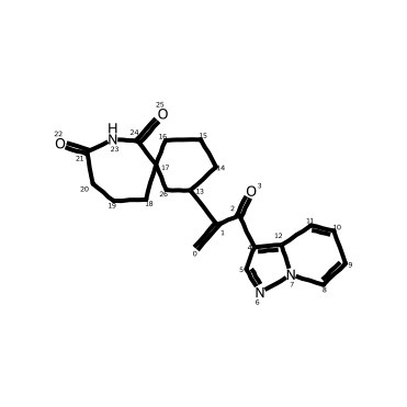 C=C(C(=O)c1cnn2ccccc12)C1CCCC2(CCCC(=O)NC2=O)C1